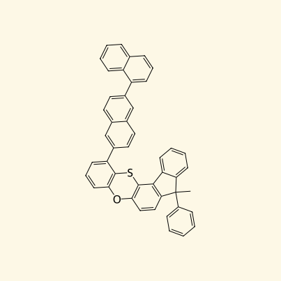 CC1(c2ccccc2)c2ccccc2-c2c1ccc1c2Sc2c(cccc2-c2ccc3cc(-c4cccc5ccccc45)ccc3c2)O1